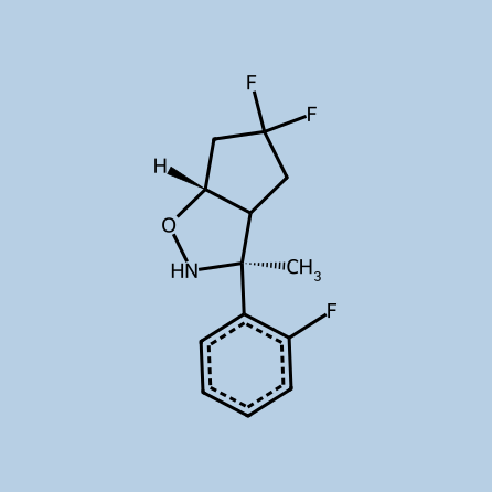 C[C@]1(c2ccccc2F)NO[C@@H]2CC(F)(F)CC21